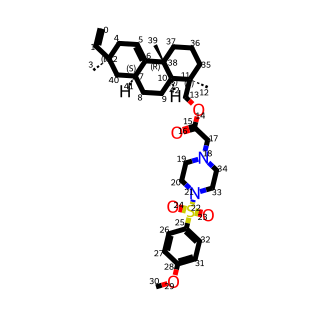 C=C[C@@]1(C)CC=C2[C@@H](CC[C@@H]3[C@](C)(COC(=O)CN4CCN(S(=O)(=O)c5ccc(OC)cc5)CC4)CCC[C@@]23C)C1